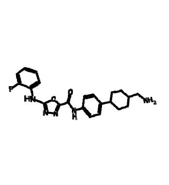 NCC1CCC(c2ccc(NC(=O)c3nnc(Nc4ccccc4F)o3)cc2)CC1